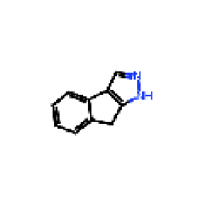 c1ccc2c(c1)Cc1[nH]ncc1-2